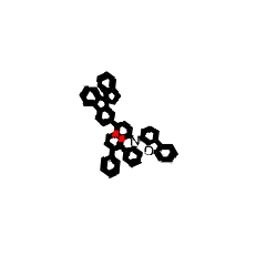 c1ccc(-c2ccccc2-c2ccccc2N(c2ccc(-c3ccc4c(c3)C3(CCc5ccccc53)c3ccccc3-4)cc2)c2cccc3c2oc2ccccc23)cc1